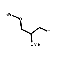 CCCOCC(CO)OC